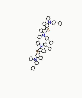 c1ccc(-c2ccc(N(c3ccccc3)c3cc4sc5cc(N(c6ccc(-c7ccccc7)cc6)c6cccc(-c7cccc(N(c8cccc(-c9ccccc9)c8)c8cc9sc%10cc(N(c%11ccccc%11)c%11cccc(-c%12ccccc%12)c%11)c%11ccccc%11c%10c9c9ccccc89)c7)c6)c6ccccc6c5c4c4ccccc34)cc2)cc1